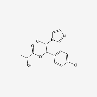 CC(S)C(=O)OC(c1ccc(Cl)cc1)C(Cl)n1ccnc1